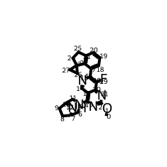 COc1nc(N2CC3CCC(C2)N3)c2cnc(-c3cccc4c3C3(CC4)CC3)c(F)c2n1